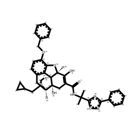 CC(C)(NC(=O)C1=C(O)[C@@H]2Oc3c(OCc4ccccc4)ccc4c3[C@@]23CCN(CC2CC2)[C@H](C4)[C@]3(O)C1)c1nc(-c2ccccc2)no1